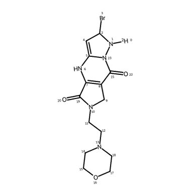 [2H]N1C(Br)C=C2NC3=C(CN(CCN4CCOCC4)C3=O)C(=O)N21